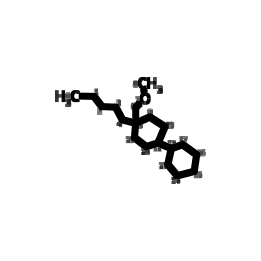 CCCCCC1(COC)CCC(C2CCCCC2)CC1